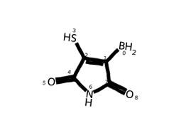 BC1=C(S)C(=O)NC1=O